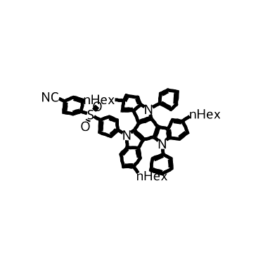 CCCCCCc1ccc2c(c1)c1c(c3c4cc(CCCCCC)ccc4n(-c4ccc(S(=O)(=O)c5ccc(C#N)cc5)cc4)c3c3c4cc(CCCCCC)ccc4n(-c4ccccc4)c13)n2-c1ccccc1